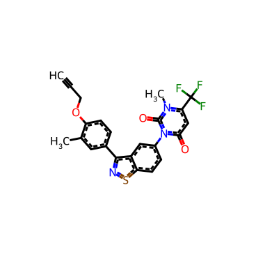 C#CCOc1ccc(-c2nsc3ccc(-n4c(=O)cc(C(F)(F)F)n(C)c4=O)cc23)cc1C